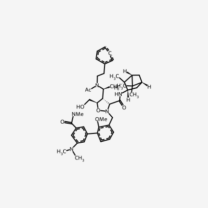 CNC(=O)c1cc(-c2cccc(CN3O[C@@H](CO)[C@H]([C@H](C)N(CCc4ccccc4)C(C)=O)C3C(=O)N[C@H]3C[C@H]4C[C@@H]([C@@H]3C)C4(C)C)c2OC)cc(N(C)C)c1